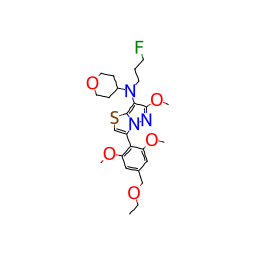 CCOCc1cc(OC)c(-c2csc3c(N(CCCF)C4CCOCC4)c(OC)nn23)c(OC)c1